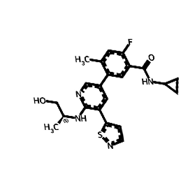 Cc1cc(F)c(C(=O)NC2CC2)cc1-c1cnc(N[C@@H](C)CO)c(-c2ccns2)c1